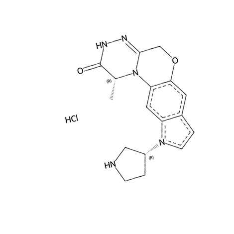 C[C@@H]1C(=O)NN=C2COc3cc4ccn([C@@H]5CCNC5)c4cc3N21.Cl